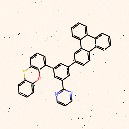 c1cnc(-c2cc(-c3ccc4c5ccccc5c5ccccc5c4c3)cc(-c3cccc4c3Oc3ccccc3S4)c2)nc1